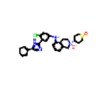 [O-][S+]1CCC([N+]2([O-])CCc3c(cccc3Nc3ccc(Cl)c(-c4ncc(C5=CCCC=C5)[nH]4)c3)C2)CC1